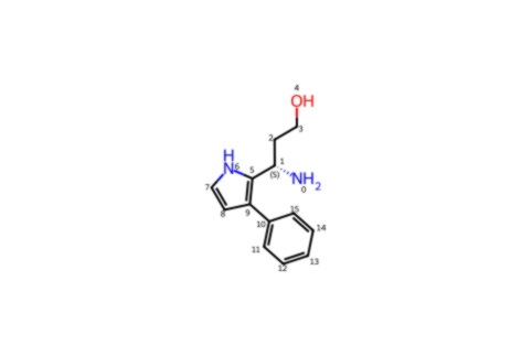 N[C@@H](CCO)c1[nH]ccc1-c1ccccc1